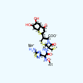 CCO/N=C(\C(=O)N[C@]1(C=S)C(=O)N2C(C(=O)[O-])=C(c3cc(=O)c4cc(O)c(O)cc4s3)CS[C@H]21)c1nsc(N)n1.[Na+]